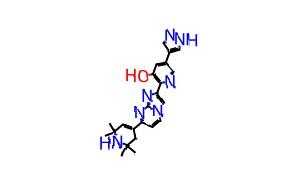 CC1(C)C=C(c2ccn3cc(-c4ncc(-c5cn[nH]c5)cc4O)nc3n2)CC(C)(C)N1